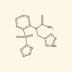 NC(=O)N(Cc1cn[nH]c1)c1ccccc1S(=O)(=O)c1nccs1